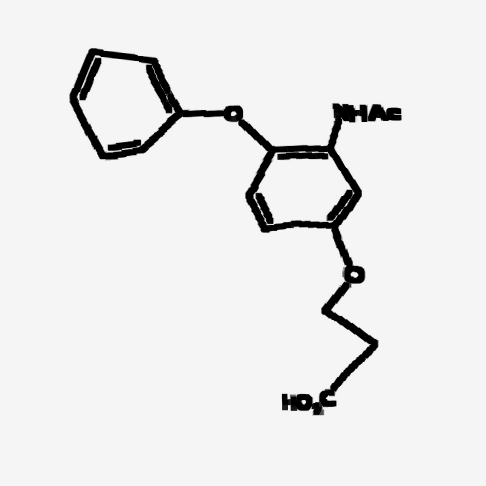 CC(=O)Nc1cc(OCCC(=O)O)ccc1Oc1ccccc1